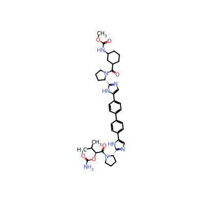 COC(=O)NC1CCCC(C(=O)N2CCC[C@H]2c2ncc(-c3ccc(-c4ccc(-c5cnc([C@@H]6CCCN6C(=O)[C@@H](OC(N)=O)C(C)C)[nH]5)cc4)cc3)[nH]2)C1